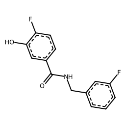 O=C(NCc1cccc(F)c1)c1ccc(F)c(O)c1